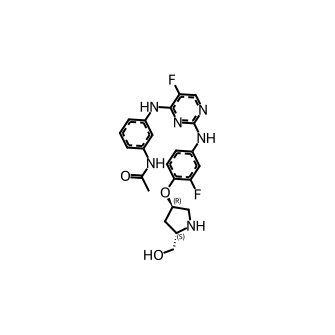 CC(=O)Nc1cccc(Nc2nc(Nc3ccc(O[C@H]4CN[C@H](CO)C4)c(F)c3)ncc2F)c1